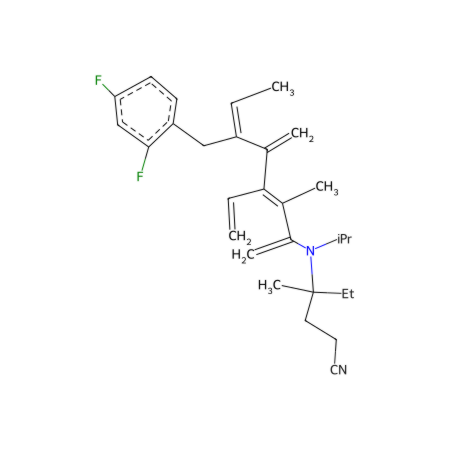 C=C/C(C(=C)/C(=C\C)Cc1ccc(F)cc1F)=C(/C)C(=C)N(C(C)C)C(C)(CC)CCC#N